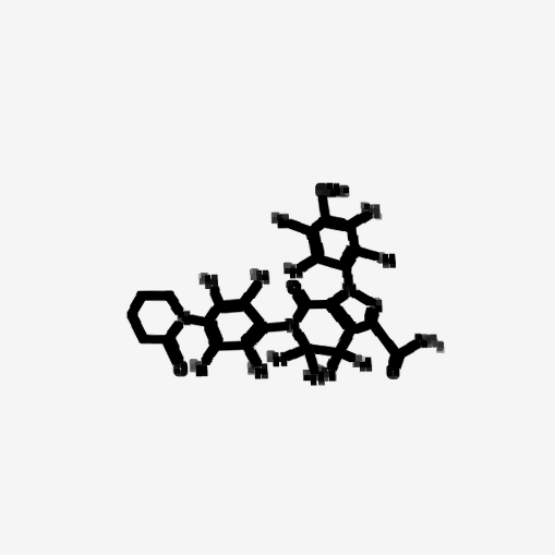 [2H]c1c([2H])c(-n2nc(C(N)=O)c3c2C(=O)N(c2c([2H])c([2H])c(N4CCCCC4=O)c([2H])c2[2H])C([2H])([2H])C3([2H])[2H])c([2H])c([2H])c1OC